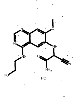 COc1cc2ncnc(NCCO)c2cc1NC(C#N)C(N)=O.Cl